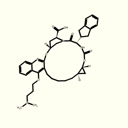 CN(C)CCCOc1c2c(nc3ccccc13)O[C@@H]1C[C@@H](C(=O)O)N(C1)C(=O)[C@H](C1Cc3ccccc3C1)NC(=O)O[C@@H]1C[C@H]1CCCCC2